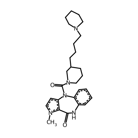 Cn1ccc2c1C(=O)Nc1ccccc1N2C(=O)N1CCCC(CCCCN2CCCCC2)C1